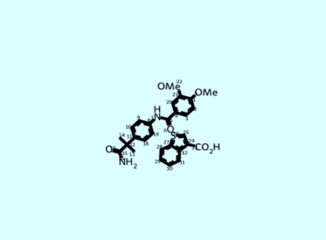 COc1ccc(C(=O)Nc2ccc(C(C)(C)C(N)=O)cc2)cc1OC.O=C(O)c1csc2ccccc12